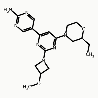 CC[C@H]1CN(c2cc(-c3cnc(N)nc3)nc(N3CC(OC)C3)n2)CCO1